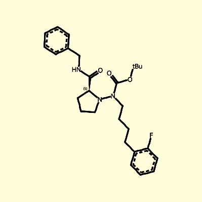 CC(C)(C)OC(=O)N(CCCCc1ccccc1F)N1CCC[C@H]1C(=O)NCc1ccccc1